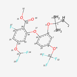 BC(B)(BC)Oc1cc(OC(F)(F)F)ccc1Oc1cc(OC(F)F)cc(F)c1C(=O)OC